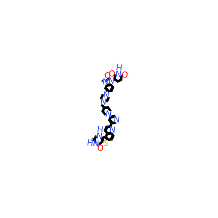 C[C@@H]1CNc2c(sc3ccc4nc(-c5cncc(N6CCC(CN7CCN(c8ccc9c(c8)n(C)c(=O)n9C8CCC(=O)NC8=O)CC7)CC6)c5)ccc4c23)C(=O)N1